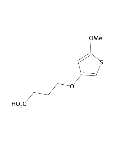 COc1cc(OCCCC(=O)O)cs1